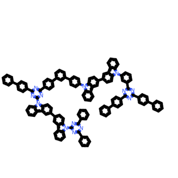 c1ccc(-c2ccc(-c3nc(-c4ccc(-c5ccccc5)cc4)nc(-c4cccc(-n5c6ccccc6c6cc(-c7ccc8c(c7)c7ccccc7n8-c7ccc(-c8cccc(-c9ccc(-c%10nc(-c%11ccc(-c%12ccccc%12)cc%11)nc(-n%11c%12ccccc%12c%12cc(-c%13ccc%14c(c%13)c%13ccccc%13n%14-c%13nc(-c%14ccccc%14)nc(-c%14ccccc%14)n%13)ccc%12%11)n%10)cc9)c8)cc7)ccc65)c4)n3)cc2)cc1